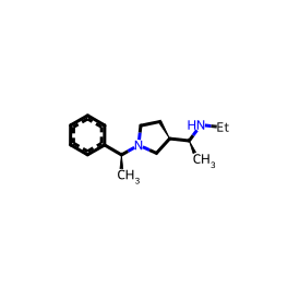 CCN[C@@H](C)[C@@H]1CCN([C@@H](C)c2ccccc2)C1